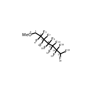 COCC(F)(F)C(F)(F)C(F)(F)C(F)(F)C(F)(F)C(F)F